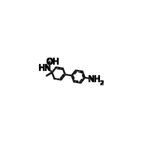 CC1(NO)C=CC(c2ccc(N)cc2)=CC1